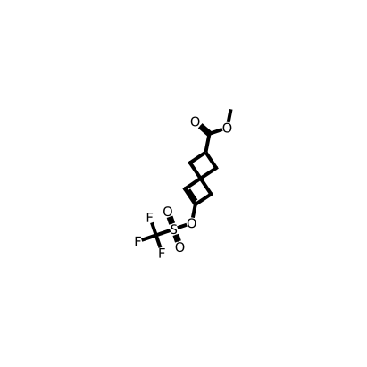 COC(=O)C1CC2(C=C(OS(=O)(=O)C(F)(F)F)C2)C1